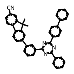 CC1(C)c2cc(C#N)ccc2-c2ccc(-c3cccc(-c4nc(-c5ccccc5)nc(-c5ccc(-c6ccccc6)cc5)n4)c3)cc21